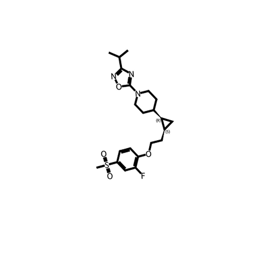 CC(C)c1noc(N2CCC([C@H]3C[C@H]3CCOc3ccc(S(C)(=O)=O)cc3F)CC2)n1